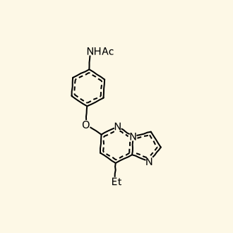 CCc1cc(Oc2ccc(NC(C)=O)cc2)nn2ccnc12